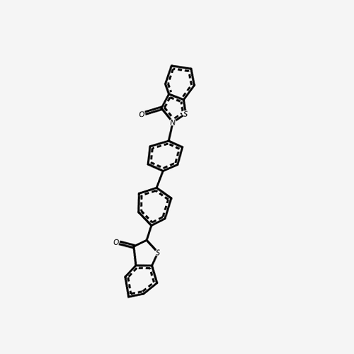 O=C1c2ccccc2SC1c1ccc(-c2ccc(-n3sc4ccccc4c3=O)cc2)cc1